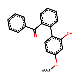 CCCCCCCCOc1ccc(-c2ccccc2C(=O)c2ccccc2)c(O)c1